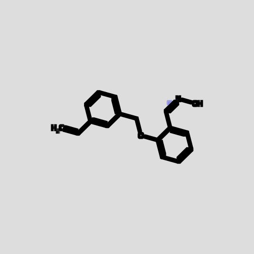 C=Cc1cccc(COc2ccccc2/C=N\O)c1